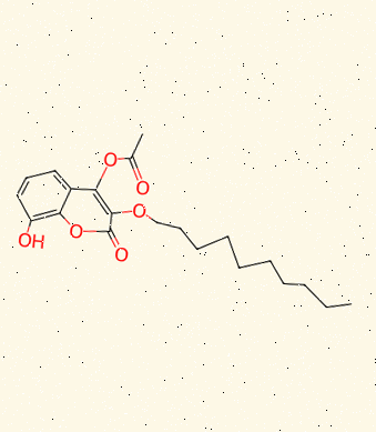 CCCCCCCCCCOc1c(OC(C)=O)c2cccc(O)c2oc1=O